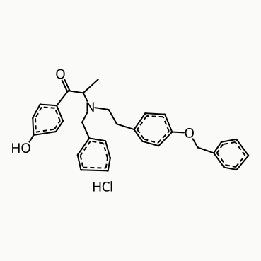 CC(C(=O)c1ccc(O)cc1)N(CCc1ccc(OCc2ccccc2)cc1)Cc1ccccc1.Cl